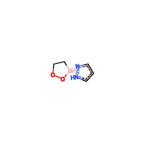 B1CCOO1.c1cn[nH]c1